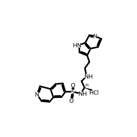 C[C@H](CNCCc1c[nH]c2cnccc12)NS(=O)(=O)c1ccc2cnccc2c1.Cl